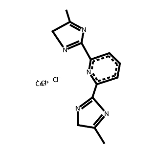 CC1=NC(c2cccc(C3=NCC(C)=N3)n2)=NC1.[Cl-].[Cl-].[Co+2]